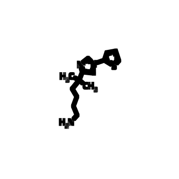 CC(C)(CCCCN)c1cn(-c2cccs2)cn1